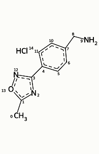 Cc1nc(-c2ccc(CN)cc2)no1.Cl